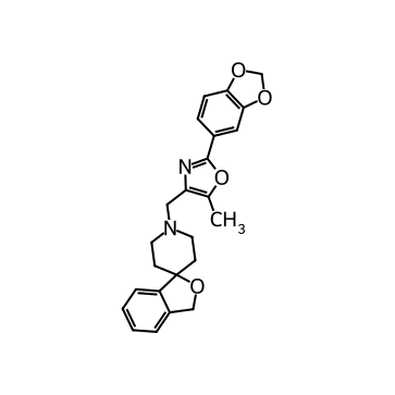 Cc1oc(-c2ccc3c(c2)OCO3)nc1CN1CCC2(CC1)OCc1ccccc12